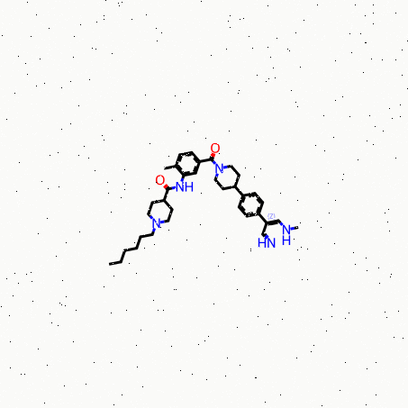 CCCCCCN1CCC(C(=O)Nc2cc(C(=O)N3CCC(c4ccc(/C(C=N)=C/NC)cc4)CC3)ccc2C)CC1